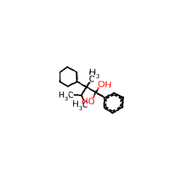 CC(C)C(C)(C1CCCCC1)C(O)(O)c1ccccc1